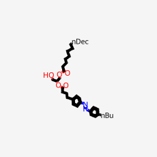 CCCCCCCCCCCCCCCCCC(=O)OCC(CO)OC(=O)CCCc1ccc(/N=N/c2ccc(CCCC)cc2)cc1